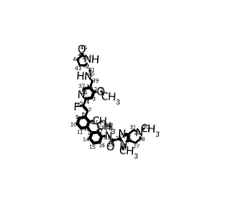 COc1cc(/C(F)=C/c2cccc(-c3cccc(NC(=O)c4nc5c(n4C)CCN(C)C5)c3C)c2C)ncc1CNC[C@@H]1CCC(=O)N1